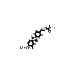 COc1ccc(S(=O)(=O)c2ccc(CCNC(=O)C(F)(F)F)cc2)cc1C